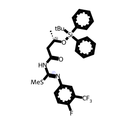 CS/C(=N\c1ccc(F)c(C(F)(F)F)c1)NC(=O)C[C@H](C)O[Si](c1ccccc1)(c1ccccc1)C(C)(C)C